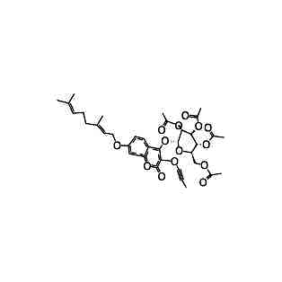 CC#COc1c(O[C@H]2O[C@H](COC(C)=O)[C@@H](OC(C)=O)[C@H](OC(C)=O)[C@@H]2OC(C)=O)c2ccc(OC/C=C(\C)CCC=C(C)C)cc2oc1=O